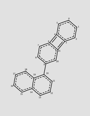 c1ccc2c(c1)=c1ccc(-c3cccc4ccccc34)cc1=2